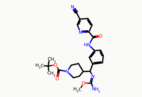 CO/C(N)=N\C(c1cccc(NC(=O)c2ccc(C#N)cn2)c1)C1CCN(C(=O)OC(C)(C)C)CC1